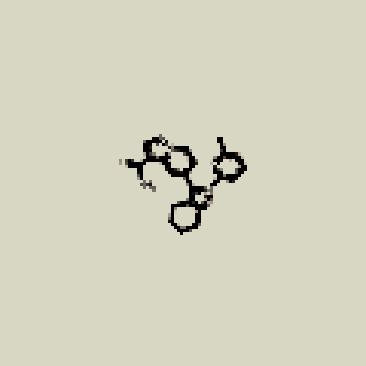 Cc1cccc(-n2nc3c(c2-c2ccn4ncc(C(N)=O)c4c2)CCCC3)n1